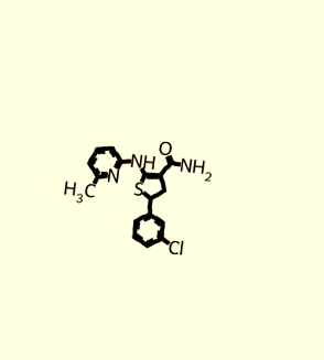 Cc1cccc(NC2=C(C(N)=O)CC(c3cccc(Cl)c3)S2)n1